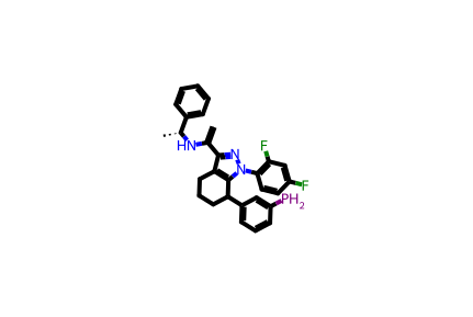 C=C(N[C@H](C)c1ccccc1)c1nn(-c2ccc(F)cc2F)c2c1CCCC2c1cccc(P)c1